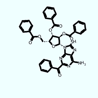 Nc1nc(C(=O)c2ccccc2)nc2c1nc(S)n2[C@@H]1O[C@H](COC(=O)c2ccccc2)[C@H](OC(=O)c2ccccc2)[C@H]1OC(=O)c1ccccc1